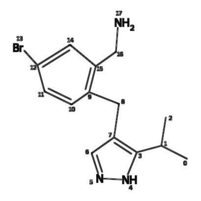 CC(C)c1[nH]ncc1Cc1ccc(Br)cc1CN